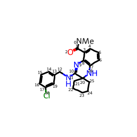 CNC(=O)c1cccc2c1N=C(NCc1cccc(Cl)c1)C1(CCCCC1)N2